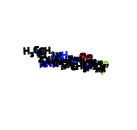 CN(C)Cc1ccc(Nc2nc(N)n(-c3ccc4c(cc(CNC(=O)c5cncn(Cc6ccc(F)c(F)c6)c5=O)n4C)n3)n2)cc1